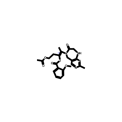 COc1ccccc1C(=O)S/C(CCOC(C)=O)=C(/C)N1Cc2cnc(C)nc2NCC1=O